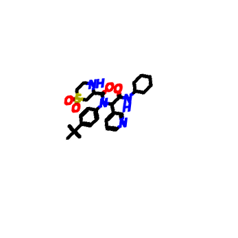 CC(C)(C)c1ccc(N(C(=O)C2CS(=O)(=O)CCN2)C(C(=O)NC2CCCCC2)c2cccnc2)cc1